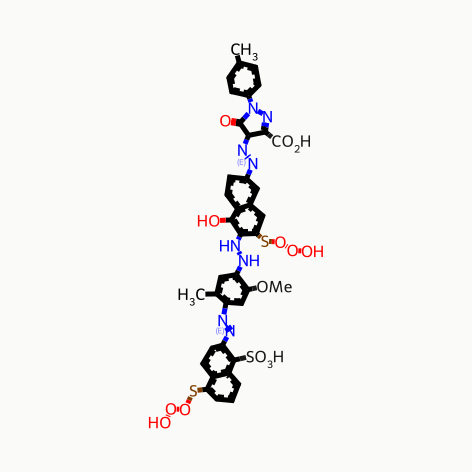 COc1cc(/N=N/c2ccc3c(SOOO)cccc3c2S(=O)(=O)O)c(C)cc1NNc1c(SOOO)cc2cc(/N=N/C3C(=O)N(c4ccc(C)cc4)N=C3C(=O)O)ccc2c1O